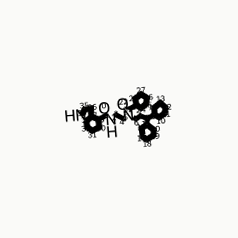 O=C(NCCN(CCC(c1ccccc1)c1ccccc1)C(=O)c1ccccc1)c1cccc2[nH]ccc12